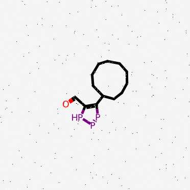 O=Cc1[pH]ppc1C1CCCCCCCCC1